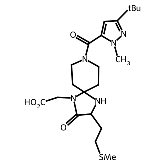 CSCCC1NC2(CCN(C(=O)c3cc(C(C)(C)C)nn3C)CC2)N(CC(=O)O)C1=O